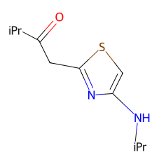 CC(C)Nc1csc(CC(=O)C(C)C)n1